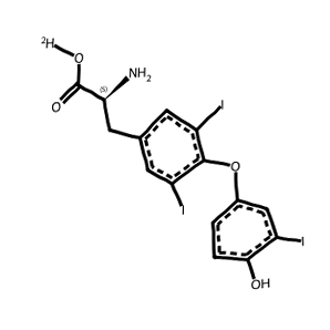 [2H]OC(=O)[C@@H](N)Cc1cc(I)c(Oc2ccc(O)c(I)c2)c(I)c1